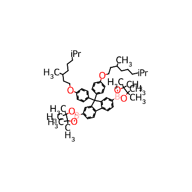 CC(C)CCCC(C)CCOc1ccc(C2(c3ccc(OCCC(C)CCCC(C)C)cc3)c3cc(B4OC(C)(C)C(C)(C)O4)ccc3-c3ccc(B4OC(C)(C)C(C)(C)O4)cc32)cc1